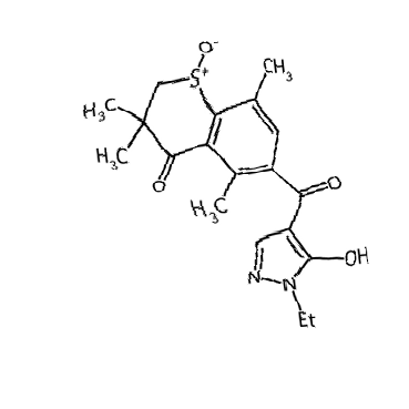 CCn1ncc(C(=O)c2cc(C)c3c(c2C)C(=O)C(C)(C)C[S+]3[O-])c1O